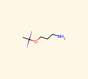 CC(I)(I)OCCCN